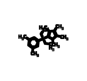 CC[Si](CC)(C1=C(C)C(C)=C(C)C1C)c1cc(C)cc(C)c1